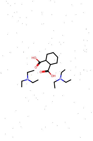 CCN(CC)CC.CCN(CC)CC.O=C(O)C1CCCCC1C(=O)O